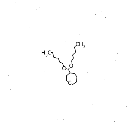 CCCCCCOC(OCCCCCC)C1CCCCCCC1